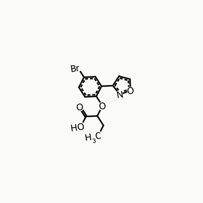 CCC(Oc1ccc(Br)cc1-c1ccon1)C(=O)O